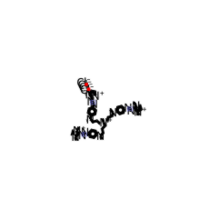 CN(CCC[N+](C)(CCCN(C)c1ccc(/N=N/c2n(C)cc[n+]2C)cc1)CCCN(C)c1ccc(/N=N/c2n(C)cc[n+]2C)cc1)c1ccc(/N=N/c2n(C)cc[n+]2C)cc1.[Cl-].[Cl-].[Cl-].[Cl-]